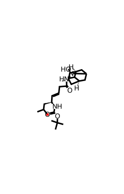 CC(C)C[C@@H](/C=C/CC(=O)NC1[C@@H]2CC3C[C@H]1C[C@@](C)(C2)N3O)NC(=O)OC(C)(C)C